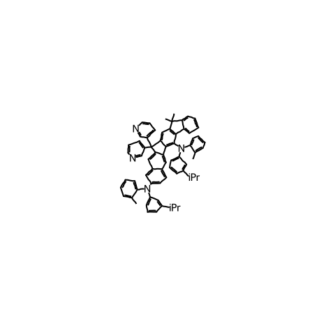 Cc1ccccc1N(c1cccc(C(C)C)c1)c1ccc2cc3c(cc2c1)C(c1cccnc1)(c1cccnc1)c1cc2c(c(N(c4cccc(C(C)C)c4)c4ccccc4C)c1-3)-c1ccccc1C2(C)C